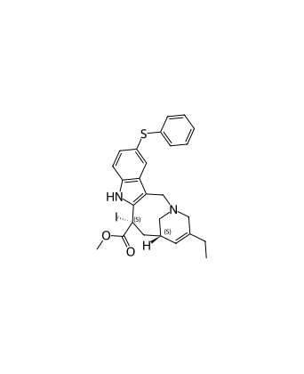 CCC1=C[C@H]2CN(C1)Cc1c([nH]c3ccc(Sc4ccccc4)cc13)[C@](I)(C(=O)OC)C2